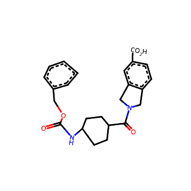 O=C(NC1CCC(C(=O)N2Cc3ccc(C(=O)O)cc3C2)CC1)OCc1ccccc1